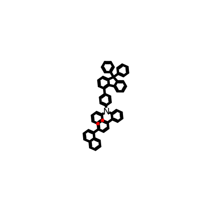 c1ccc(N(c2ccc(-c3cccc4c3-c3ccccc3C4(c3ccccc3)c3ccccc3)cc2)c2ccccc2-c2ccc(-c3cccc4ccccc34)cc2)cc1